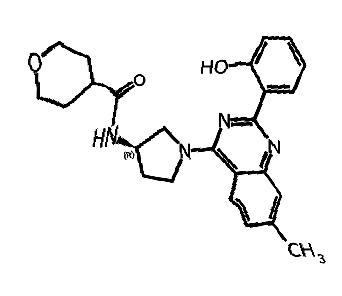 Cc1ccc2c(N3CC[C@@H](NC(=O)C4CCOCC4)C3)nc(-c3ccccc3O)nc2c1